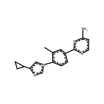 Cc1cc(-c2nccc(N)n2)ccc1-n1cnc(C2CC2)c1